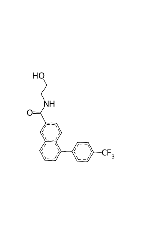 O=C(NCCO)c1ccc2c(-c3ccc(C(F)(F)F)cc3)cccc2c1